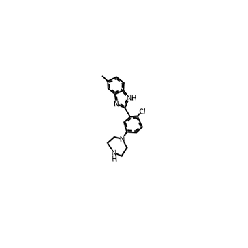 Cc1ccc2[nH]c(-c3cc(N4CCNCC4)ccc3Cl)nc2c1